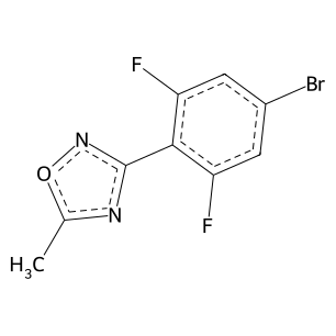 Cc1nc(-c2c(F)cc(Br)cc2F)no1